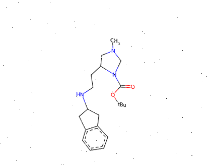 CN1CC(CCNC2Cc3ccccc3C2)N(C(=O)OC(C)(C)C)C1